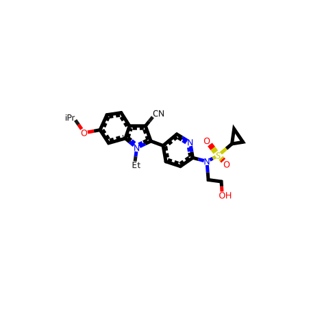 CCn1c(-c2ccc(N(CCO)S(=O)(=O)C3CC3)nc2)c(C#N)c2ccc(OC(C)C)cc21